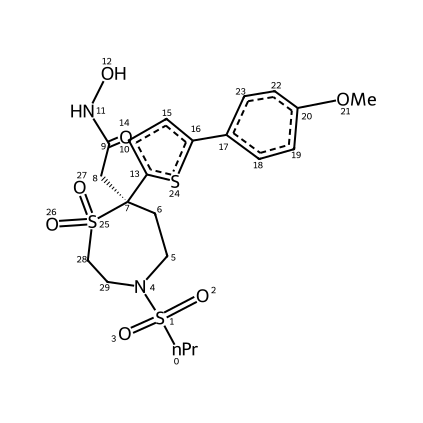 CCCS(=O)(=O)N1CC[C@](CC(=O)NO)(c2ccc(-c3ccc(OC)cc3)s2)S(=O)(=O)CC1